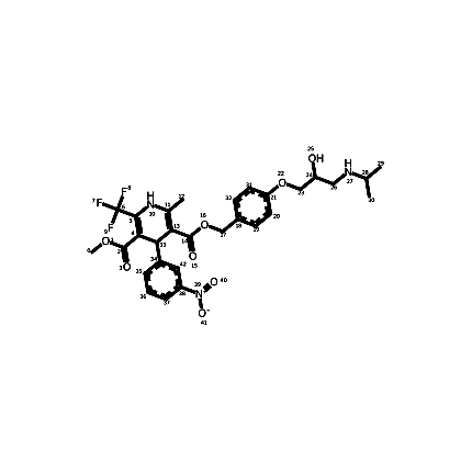 COC(=O)C1=C(C(F)(F)F)NC(C)=C(C(=O)OCc2ccc(OCC(O)CNC(C)C)cc2)C1c1cccc([N+](=O)[O-])c1